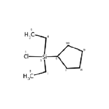 CC[Si](Cl)(CC)C1CCCC1